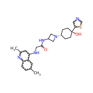 Cc1ccc2nc(C)cc(NCC(=O)NC3CN([C@H]4CC[C@@](O)(c5cncs5)CC4)C3)c2c1